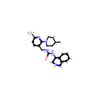 CC1CCN(c2nc(C(F)(F)F)ccc2CNC(=O)Nc2cncc3ccccc23)CC1